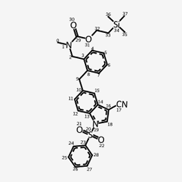 CN(Cc1ccccc1Cc1ccc2c(c1)c(C#N)cn2S(=O)(=O)c1ccccc1)C(=O)OCC[Si](C)(C)C